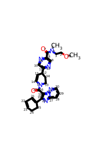 COCCN(C)C(=O)c1cnc(C2C=CN(C(=O)c3c(C4=CC=CCC4)nc4cccnn34)CC2)cn1